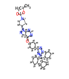 CC(C)OC(=O)N1CCC(n2ncc3c(Oc4ccc(-c5nnn(C(c6ccccc6)(c6ccccc6)c6ccccc6)n5)cc4)ncnc32)CC1